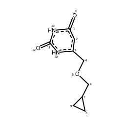 O=c1cc(COCC2CC2)[nH]c(=O)[nH]1